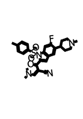 Cc1ccc(S(=O)(=O)n2c(C(=O)/C(C#N)=C\N(C)C)cc3cc(C4CCN(C)CC4)c(F)cc32)cc1